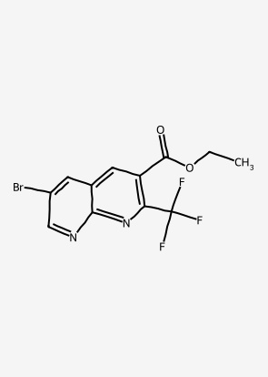 CCOC(=O)c1cc2cc(Br)cnc2nc1C(F)(F)F